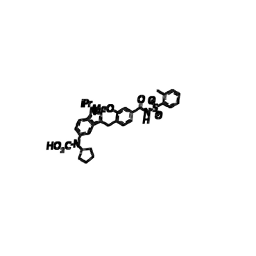 COc1cc(C(=O)NS(=O)(=O)c2ccccc2C)ccc1Cc1cn(C(C)C)c2ccc(N(C(=O)O)C3CCCC3)cc12